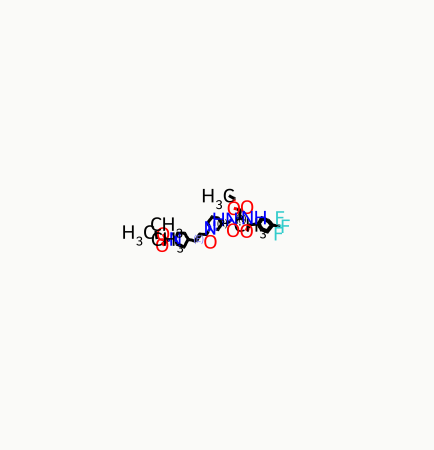 CCOC(=O)[C@@](C)(NC(=O)c1ccc(C(F)(F)F)cc1)NC(=O)[C@@H]1CCCN(C(=O)/C=C/C2CCN(C(=O)OC(C)(C)C)CC2)C1